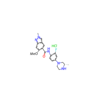 COc1cc2nn(C)cc2cc1C(=O)Nc1ccc(N2CCN[C@@H](C)C2)cc1F.Cl